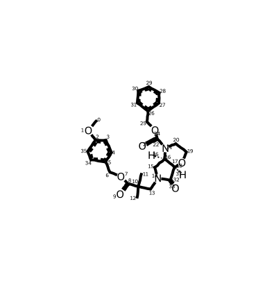 COc1ccc(COC(=O)C(C)(C)CN2C[C@@H]3[C@@H](OCCN3C(=O)OCc3ccccc3)C2=O)cc1